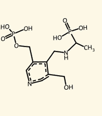 CC(NCc1c(CO)cncc1COP(=O)(O)O)P(=O)(O)O